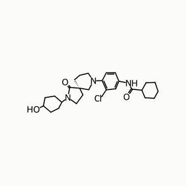 O=C(Nc1ccc(N2CCC[C@@]3(CCN(C4CCC(O)CC4)C3=O)C2)c(Cl)c1)C1CCCCC1